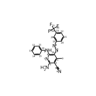 Cc1c(C#N)c(N)nc(Nc2ccccc2)c1/N=N/c1cccc(C(F)(F)F)c1